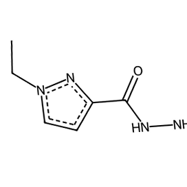 CCn1ccc(C(=O)NN)n1